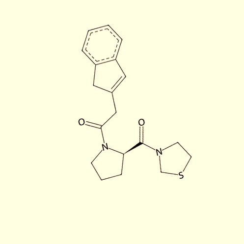 O=C([C@H]1CCCN1C(=O)CC1=Cc2ccccc2C1)N1CCSC1